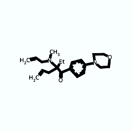 C=CCN(C)C(CC)(CC=C)C(=O)c1ccc(N2CCOCC2)cc1